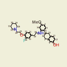 COc1ccc([C@@H]2CCc3cc(O)ccc3C2)c(NCCc2ccc(OCCN3CCCCC3)c(F)c2)c1